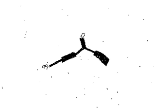 C#CC(=O)C#CCCC